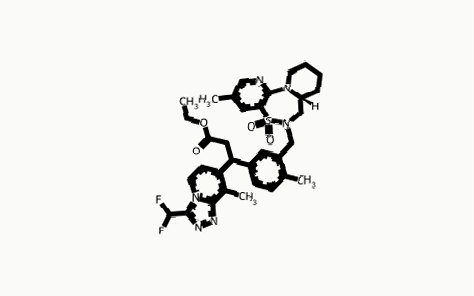 CCOC(=O)CC(c1ccc(C)c(CN2C[C@H]3CCCCN3c3ncc(C)cc3S2(=O)=O)c1)c1ccn2c(C(F)F)nnc2c1C